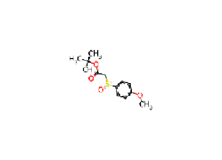 COc1ccc([S+]([O-])CC(=O)OC(C)(C)C)cc1